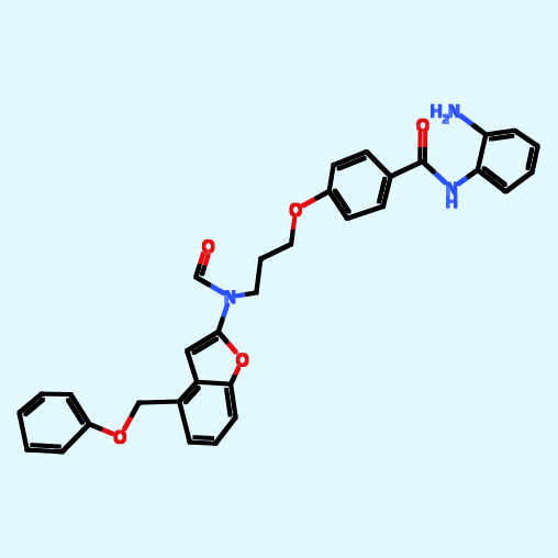 Nc1ccccc1NC(=O)c1ccc(OCCCN(C=O)c2cc3c(COc4ccccc4)cccc3o2)cc1